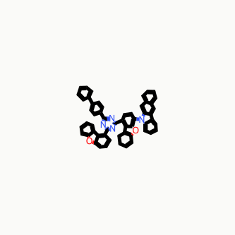 C1=Cc2oc3c(-n4c5ccccc5c5cc6ccccc6cc54)ccc(-c4nc(-c5ccc(-c6ccccc6)cc5)nc(-c5cccc6oc7ccccc7c56)n4)c3c2CC1